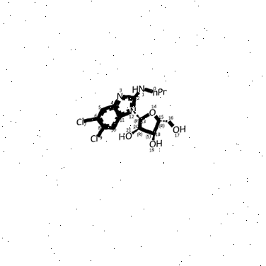 CCCNc1nc2cc(Cl)c(Cl)cc2n1[C@@H]1O[C@H](CO)[C@@H](O)[C@H]1O